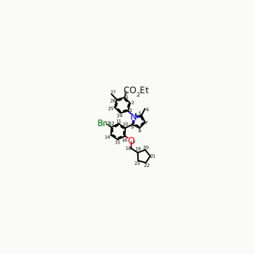 CCOC(=O)c1cc(-n2c(C)ccc2-c2cc(Br)ccc2OCC2CCCC2)ccc1C